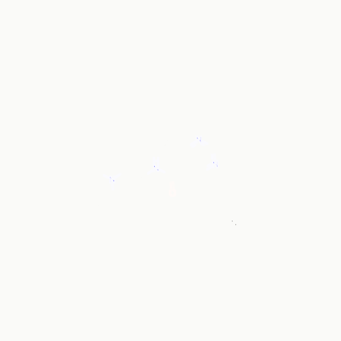 Cc1nc(-c2ccccc2)nc(-c2cccc([N+](=O)[O-])c2)c1C(=O)NCCN1CCCCC1